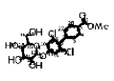 COC(=O)c1ccc(-c2c(Cl)cc(O[C@H]3OC(CO)[C@@H](O)C(O)C3O)cc2Cl)cc1